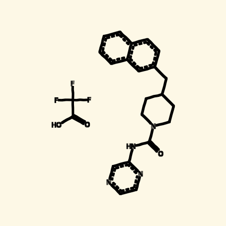 O=C(Nc1cnccn1)N1CCC(Cc2ccc3ccccc3c2)CC1.O=C(O)C(F)(F)F